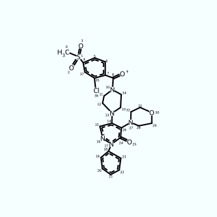 CS(=O)(=O)c1ccc(C(=O)N2CCN(c3cnn(-c4ccccc4)c(=O)c3N3CCOCC3)CC2)c(Cl)c1